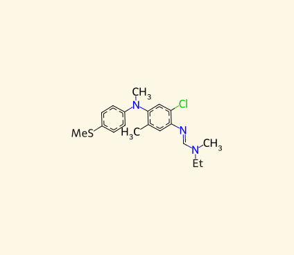 CCN(C)C=Nc1cc(C)c(N(C)c2ccc(SC)cc2)cc1Cl